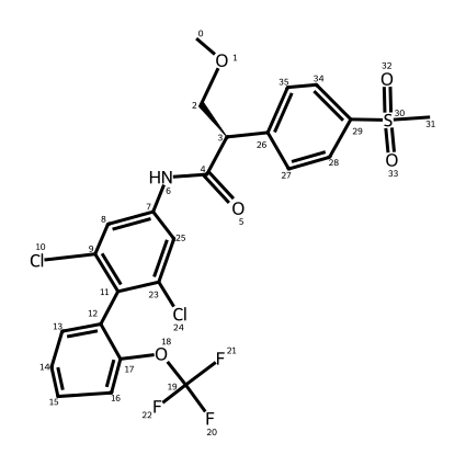 COC[C@H](C(=O)Nc1cc(Cl)c(-c2ccccc2OC(F)(F)F)c(Cl)c1)c1ccc(S(C)(=O)=O)cc1